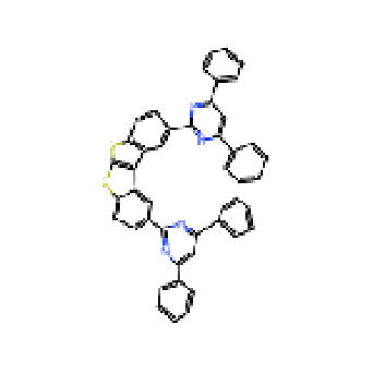 c1ccc(-c2cc(-c3ccccc3)nc(-c3ccc4sc5sc6ccc(-c7nc(-c8ccccc8)cc(-c8ccccc8)n7)cc6c5c4c3)n2)cc1